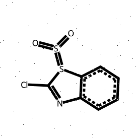 O=S(=O)=S1C(Cl)=Nc2ccccc21